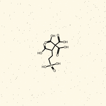 O=C(O)C(CCP(=O)(O)O)C(C(=O)O)(C(=O)O)C(=O)O